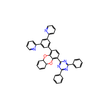 C1=CC2Oc3c(-c4cc(-c5ccccn5)cc(-c5ccccn5)c4)ccc(-c4nc(-c5ccccc5)nc(-c5ccccc5)n4)c3OC2C=C1